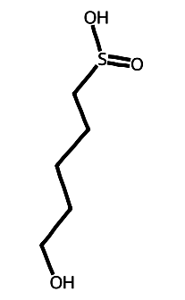 O=S(O)CCCCCO